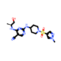 C[C@@H](CO)Nc1nc(NC2CCN(S(=O)(=O)c3cnn(C)c3)CC2)ncc1C#N